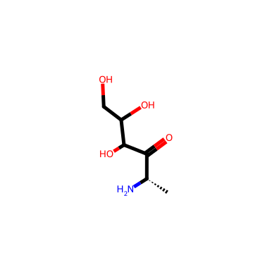 C[C@H](N)C(=O)C(O)C(O)CO